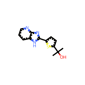 CC(C)(O)c1ccc(-c2nc3ncccc3[nH]2)s1